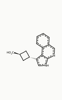 O=C(O)[C@H]1C[C@H](c2c[nH]c3ncc4ccccc4c32)C1